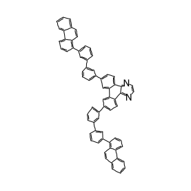 c1cc(-c2cccc(-c3cccc4c3ccc3ccccc34)c2)cc(-c2ccc3c(c2)c2cc(-c4cccc(-c5cccc(-c6cccc7c6ccc6ccccc67)c5)c4)ccc2c2nccnc32)c1